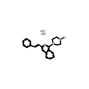 CCN1CCN(c2nc(/C=C/c3ccccc3)cc3ccccc23)CC1.Cl.Cl